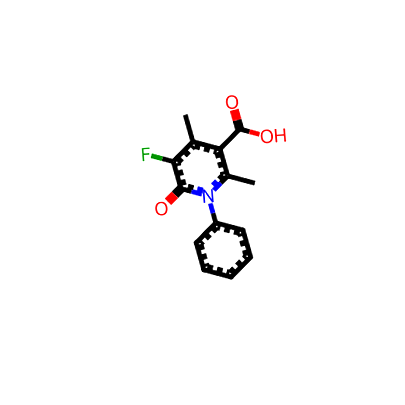 Cc1c(C(=O)O)c(C)n(-c2ccccc2)c(=O)c1F